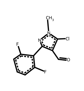 Cn1nc(-c2c(F)cccc2F)c(C=O)c1Cl